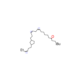 CC/C=C\CCC1CCC(CC/C=C\C/C=C\CCCCCC(=O)CCC(C)CC)C1